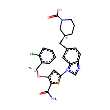 C[C@@H](Oc1cc(-n2cnc3ccc(C[C@@H]4CCCN(C(=O)O)C4)cc32)sc1C(N)=O)c1ccccc1Cl